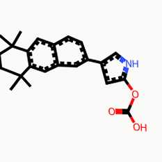 CC1(C)CCC(C)(C)c2cc3cc(-c4c[nH]c(OC(=O)O)c4)ccc3cc21